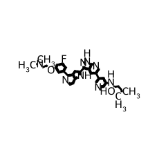 CC(C)CC(O)Nc1cncc(-c2cnc3[nH]nc(-c4cc5c(-c6cc(F)cc(OCCN(C)C)c6)nccc5[nH]4)c3c2)c1